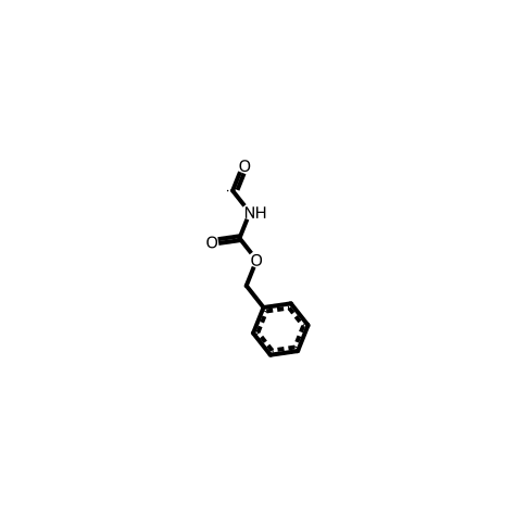 O=[C]NC(=O)OCc1ccccc1